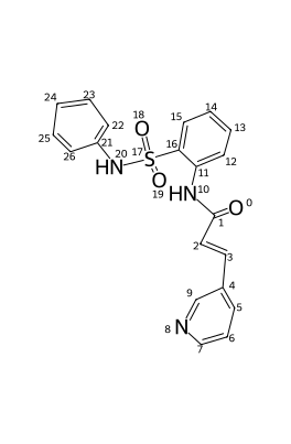 O=C(C=Cc1cccnc1)Nc1ccccc1S(=O)(=O)Nc1ccccc1